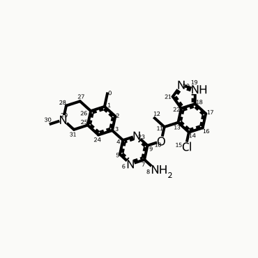 Cc1cc(-c2cnc(N)c(OC(C)c3c(Cl)ccc4[nH]ncc34)n2)cc2c1CCN(C)C2